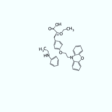 CCNc1ccccc1.CCO[C@@H](Cc1ccc(OCCN2c3ccccc3Oc3ccccc32)cc1)C(=O)O